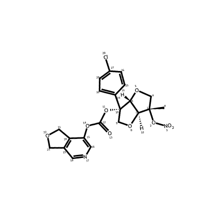 C[C@]1(O[N+](=O)[O-])CO[C@@H]2[C@@H]1OC[C@@]2(OC(=O)Oc1cncc2c1COC2)c1ccc(Cl)cc1